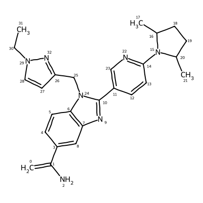 C=C(N)c1ccc2c(c1)nc(-c1ccc(N3C(C)CCC3C)nc1)n2Cc1ccn(CC)n1